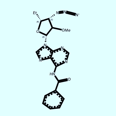 CC[C@H]1O[C@@H](n2cnc3c(NC(=O)c4ccccc4)ncnc32)C(OC)[C@H]1N=[N+]=[N-]